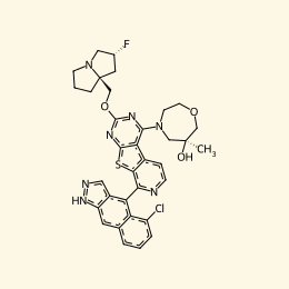 C[C@@]1(O)COCCN(c2nc(OC[C@@]34CCCN3C[C@H](F)C4)nc3sc4c(-c5c6cn[nH]c6cc6cccc(Cl)c56)nccc4c23)C1